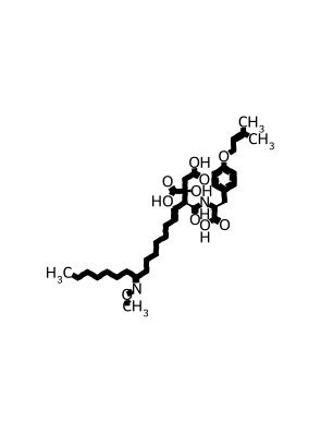 CCCCCCC/C(CCCCCC/C=C/[C@H](C(=O)N[C@@H](Cc1ccc(OCC=C(C)C)cc1)C(=O)O)[C@@](O)(CC(=O)O)C(=O)O)=N\OC